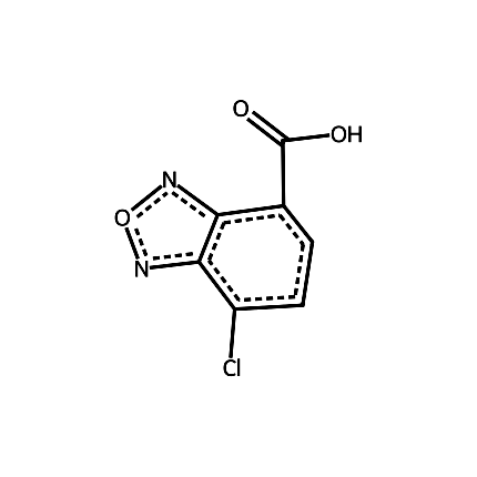 O=C(O)c1ccc(Cl)c2nonc12